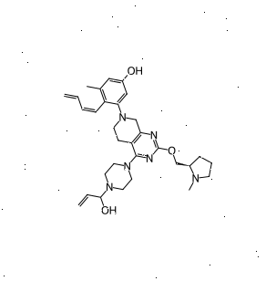 C=C/C=C\c1c(C)cc(O)cc1N1CCc2c(nc(OC[C@H]3CCCN3C)nc2N2CCN(C(O)C=C)CC2)C1